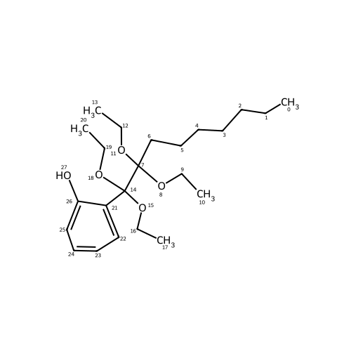 CCCCCCCC(OCC)(OCC)C(OCC)(OCC)c1ccccc1O